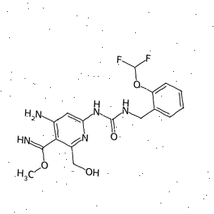 COC(=N)c1c(N)cc(NC(=O)NCc2ccccc2OC(F)F)nc1CO